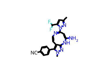 Cc1cc(C(F)F)n(-c2cc(N)[nH]c3nn(C)c(-c4ccc(C#N)cc4)c3ccn2)n1